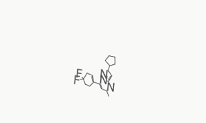 Cc1cc(C2=CCC(F)(F)CC2)n2nc(C3CCCC3)cc2n1